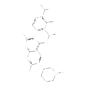 Cc1nc(N[C@H](C)c2cccc(C(C)F)c2F)c2cc([C@H]3CCCN(C)C3)c(C)nc2n1